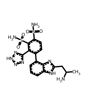 CC(N)Cc1nc2c(-c3ccc(S(N)(=O)=O)c(S(N)(=O)=O)c3-c3nn[nH]n3)cccc2[nH]1